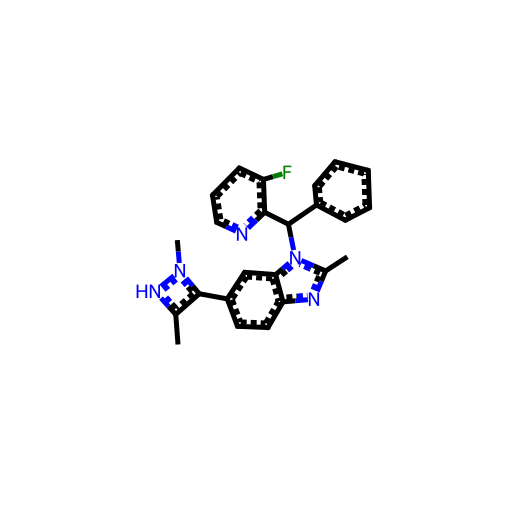 Cc1[nH]n(C)c1-c1ccc2nc(C)n(C(c3ccccc3)c3ncccc3F)c2c1